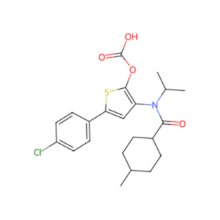 CC1CCC(C(=O)N(c2cc(-c3ccc(Cl)cc3)sc2OC(=O)O)C(C)C)CC1